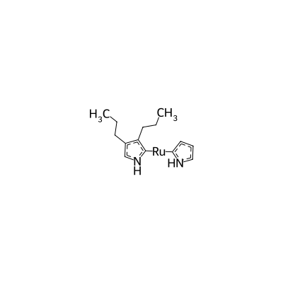 CCCc1c[nH][c]([Ru][c]2ccc[nH]2)c1CCC